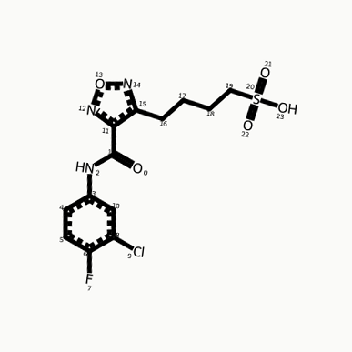 O=C(Nc1ccc(F)c(Cl)c1)c1nonc1CCCCS(=O)(=O)O